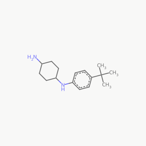 CC(C)(C)c1ccc(NC2CCC(N)CC2)cc1